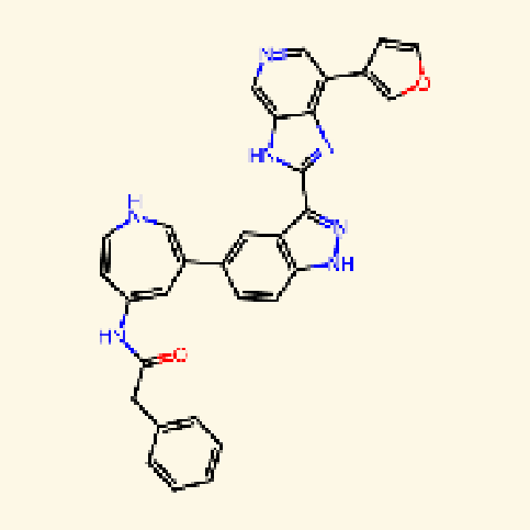 O=C(Cc1ccccc1)NC1=CC(c2ccc3[nH]nc(-c4nc5c(-c6ccoc6)cncc5[nH]4)c3c2)=CNC=C1